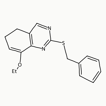 CCOC1=CCCc2cnc(SCc3ccccc3)nc21